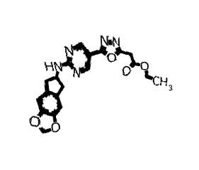 CCOC(=O)Cc1nnc(-c2cnc(NC3Cc4cc5c(cc4C3)OCO5)nc2)o1